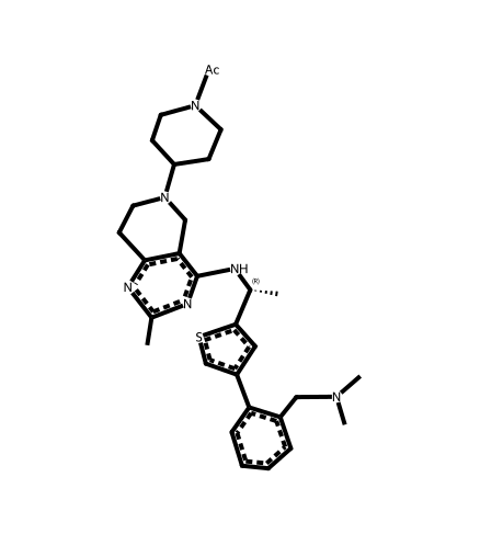 CC(=O)N1CCC(N2CCc3nc(C)nc(N[C@H](C)c4cc(-c5ccccc5CN(C)C)cs4)c3C2)CC1